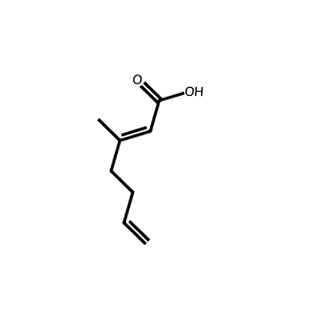 C=CCCC(C)=CC(=O)O